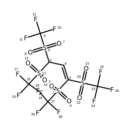 O=S(=O)(C(=CC(S(=O)(=O)C(F)(F)F)S(=O)(=O)C(F)(F)F)S(=O)(=O)C(F)(F)F)C(F)(F)F